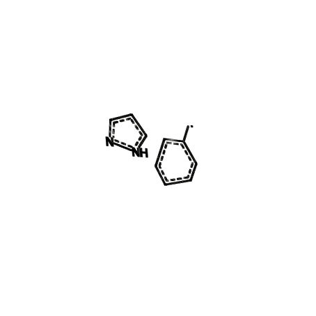 [CH2]c1ccccc1.c1cn[nH]c1